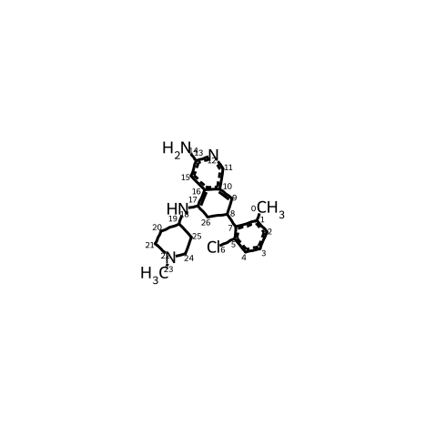 Cc1cccc(Cl)c1C1C=c2cnc(N)cc2=C(NC2CCN(C)CC2)C1